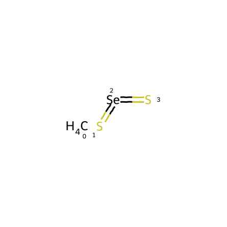 C.S=[Se]=S